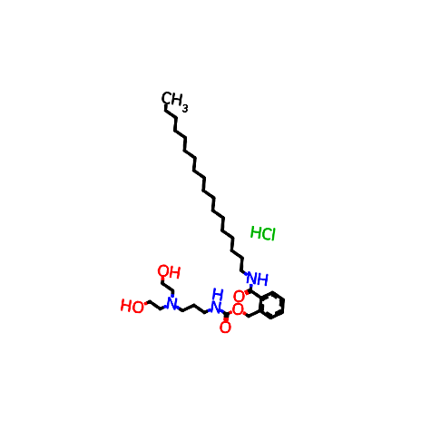 CCCCCCCCCCCCCCCCCCNC(=O)c1ccccc1COC(=O)NCCCN(CCO)CCO.Cl